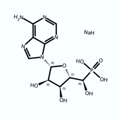 Nc1ncnc2c1ncn2[C@@H]1O[C@H]([C@H](O)P(=O)(O)O)[C@@H](O)[C@H]1O.[NaH]